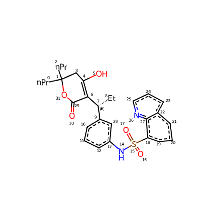 CCCC1(CCC)CC(O)=C([C@H](CC)c2cccc(NS(=O)(=O)c3cccc4cccnc34)c2)C(=O)O1